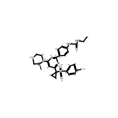 CCNC(=O)Nc1ccc(-c2nc(N3CCOC[C@@H]3C)cc(C3(S(=O)(=O)c4ccc(F)cc4)CC3)n2)cc1